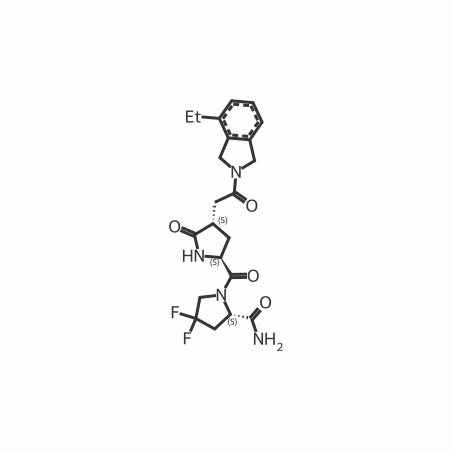 CCc1cccc2c1CN(C(=O)C[C@@H]1C[C@@H](C(=O)N3CC(F)(F)C[C@H]3C(N)=O)NC1=O)C2